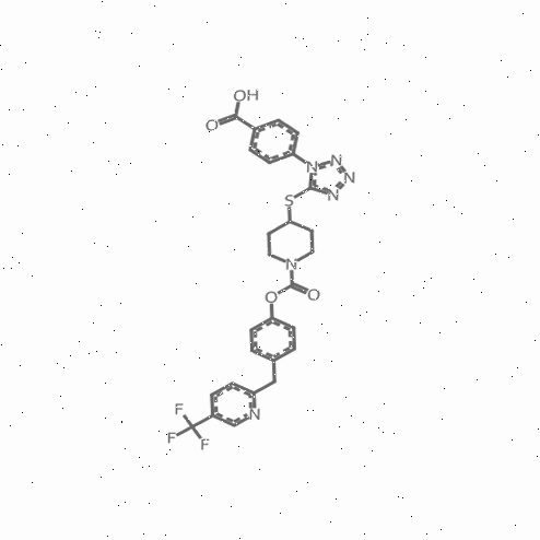 O=C(O)c1ccc(-n2nnnc2SC2CCN(C(=O)Oc3ccc(Cc4ccc(C(F)(F)F)cn4)cc3)CC2)cc1